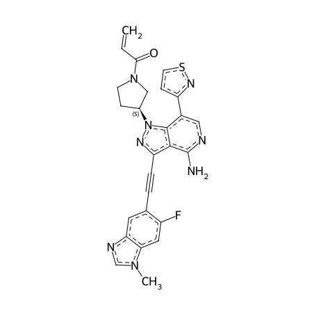 C=CC(=O)N1CC[C@H](n2nc(C#Cc3cc4ncn(C)c4cc3F)c3c(N)ncc(-c4ccsn4)c32)C1